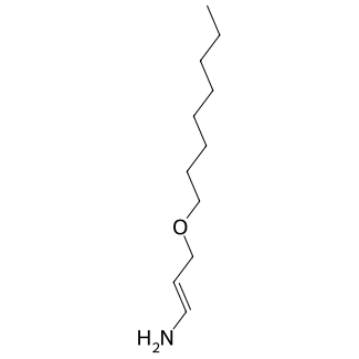 CCCCCCCCOCC=CN